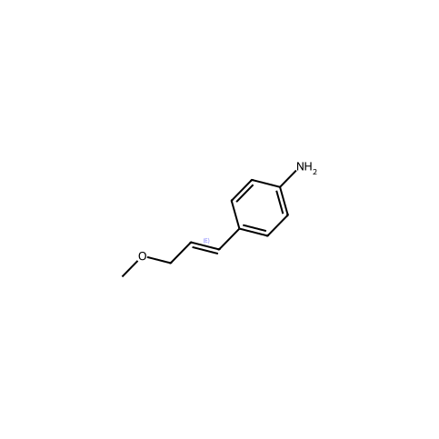 COC/C=C/c1ccc(N)cc1